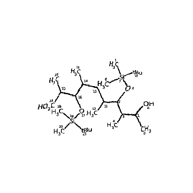 CC(O)C(C)C(O[Si](C)(C)C(C)(C)C)C(C)CC(C)C(O[Si](C)(C)C(C)(C)C)C(C)C(=O)O